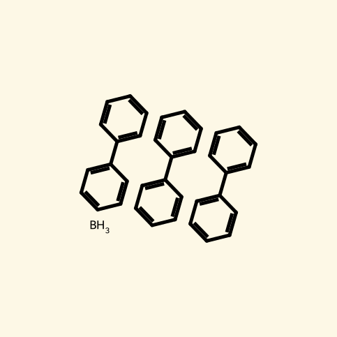 B.c1ccc(-c2ccccc2)cc1.c1ccc(-c2ccccc2)cc1.c1ccc(-c2ccccc2)cc1